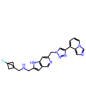 FC12CC(CNCc3cc4cnc(Cn5cc(-c6cccn7cncc67)nn5)cc4[nH]3)(C1)C2